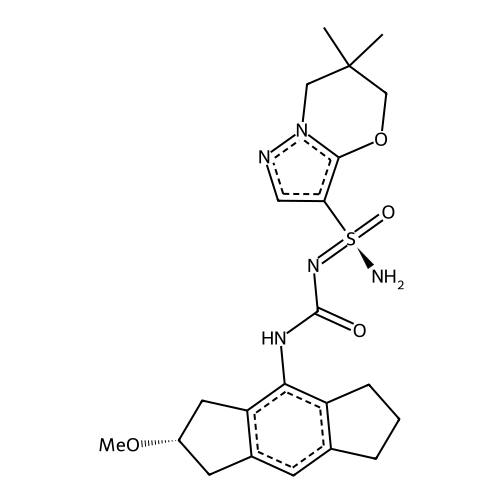 CO[C@H]1Cc2cc3c(c(NC(=O)N=[S@@](N)(=O)c4cnn5c4OCC(C)(C)C5)c2C1)CCC3